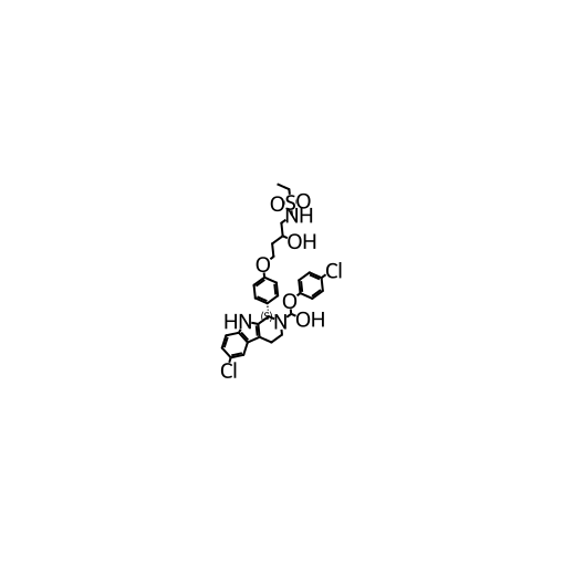 CCS(=O)(=O)NCC(O)CCOc1ccc([C@H]2c3[nH]c4ccc(Cl)cc4c3CCN2C(O)Oc2ccc(Cl)cc2)cc1